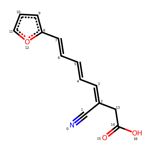 N#C\C(=C/C=C/C=C/c1ccco1)CC(=O)O